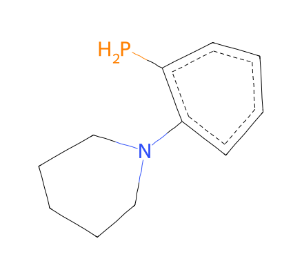 Pc1ccccc1N1CCCCC1